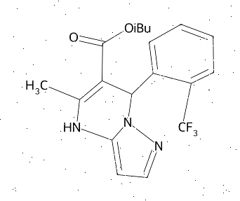 CC1=C(C(=O)OCC(C)C)C(c2ccccc2C(F)(F)F)n2nccc2N1